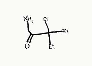 CCC(CC)(C(N)=O)C(C)C